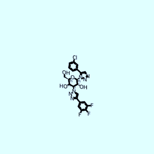 OC[C@H]1O[C@@H](n2nncc2-c2cccc(Cl)c2)[C@H](O)[C@@H](n2cc(-c3cc(F)c(F)c(F)c3)nn2)[C@H]1O